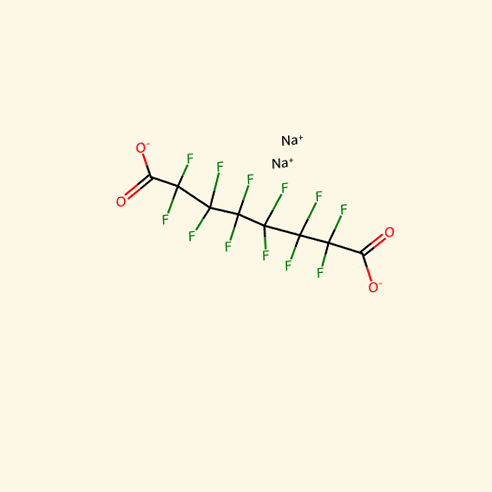 O=C([O-])C(F)(F)C(F)(F)C(F)(F)C(F)(F)C(F)(F)C(F)(F)C(=O)[O-].[Na+].[Na+]